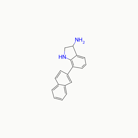 NC1CNc2c(-c3ccc4ccccc4c3)cccc21